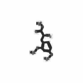 COC(=O)[C@@H](N)Cc1ccc(OC)cc1OC